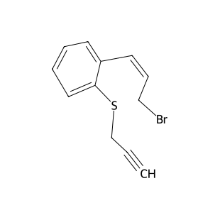 C#CCSc1ccccc1/C=C\CBr